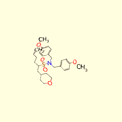 C=CCCC(CC1CCOCC1)S(=O)(=O)N(Cc1ccc(OC)cc1)Cc1ccc(OC)cc1